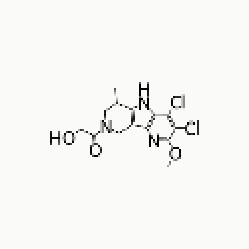 COc1nc2c3c([nH]c2c(Cl)c1Cl)C(C)CN(C(=O)CO)C3